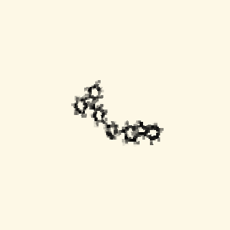 c1ccc2c(c1)oc1cc(-c3nsc(-c4ccc(-n5c6ccccc6c6ccccc65)cc4)n3)ccc12